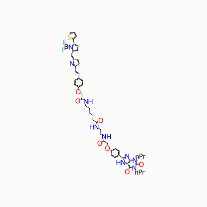 CCCn1c(=O)c2[nH]c(-c3ccc(OCC(=O)NCCNC(=O)CCCCCNC(=O)COc4ccc(/C=C/C5=NC(=Cc6ccc(-c7cccs7)n6B(F)F)C=C5)cc4)cc3)nc2n(CCC)c1=O